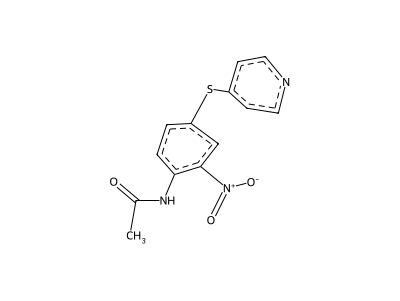 CC(=O)Nc1ccc(Sc2ccncc2)cc1[N+](=O)[O-]